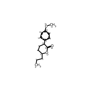 CCCC1CCC(c2ccc(OC)cc2)C(=O)O1